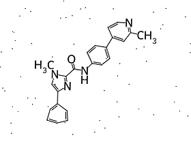 Cc1cc(-c2ccc(NC(=O)c3nc(-c4ccccc4)cn3C)cc2)ccn1